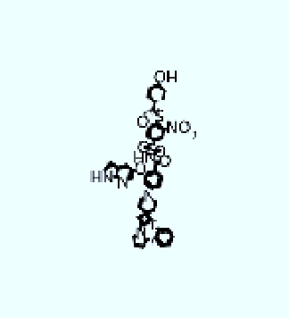 CC(C)c1ccccc1[C@@H]1CCCN1C1CC2(CCN(c3ccc(C(=O)NS(=O)(=O)c4cc5c(c([N+](=O)[O-])c4)S[C@@H]([C@H]4CC[C@H](O)CC4)CO5)c(Oc4cnc5[nH]ccc5c4)c3)CC2)C1